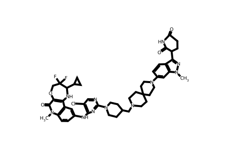 Cn1nc(C2CCC(=O)NC2=O)c2ccc(N3CCC4(CCN(CC5CCN(c6ncc(Cl)c(Nc7ccc8c(c7)c7c(c(=O)n8C)OCC(F)(F)C(C8CC8)N7)n6)CC5)CC4)CC3)cc21